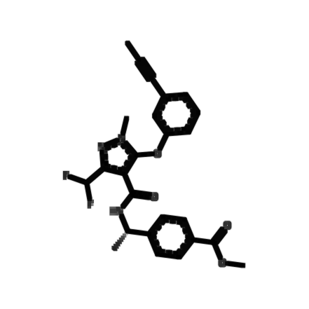 CC#Cc1cccc(Oc2c(C(=O)N[C@@H](C)c3ccc(C(=O)OC)cc3)c(C(F)F)nn2C)c1